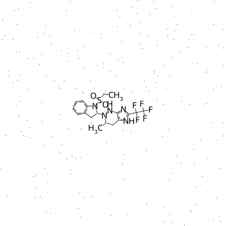 CCS(=O)(=O)N1c2ccccc2CC1N1Nc2nc(C(F)(F)C(F)(F)F)[nH]c2CC1C